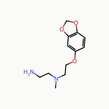 CN(CCN)CCOc1ccc2c(c1)OCO2